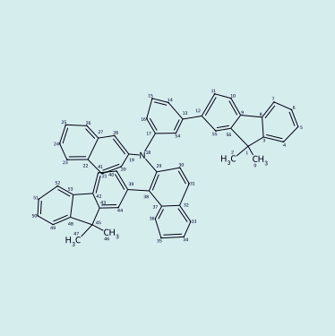 CC1(C)c2ccccc2-c2ccc(-c3cccc(N(c4ccc5ccccc5c4)c4ccc5ccccc5c4-c4ccc5c(c4)C(C)(C)c4ccccc4-5)c3)cc21